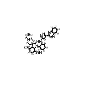 CC(C)(C)CN1CCC2(CC1)CN(c1ccccc1Nc1nnc(-c3cnc4ccccc4n3)s1)c1c(O)ccc(Cl)c12